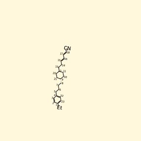 CCc1ccc(CCCC[C@H]2CC[C@H](CCC=CC=CC#N)CC2)cc1